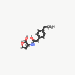 O=C(O)Cc1ccc(CC(=O)N[C@H]2CCOC2=O)cc1